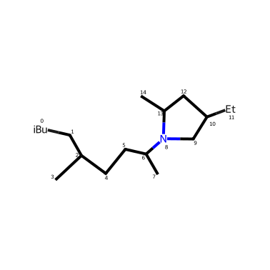 CCC(C)CC(C)CCC(C)N1CC(CC)CC1C